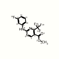 COC(=O)c1cnc(Nc2cccc(F)c2)nc1C(F)(F)F